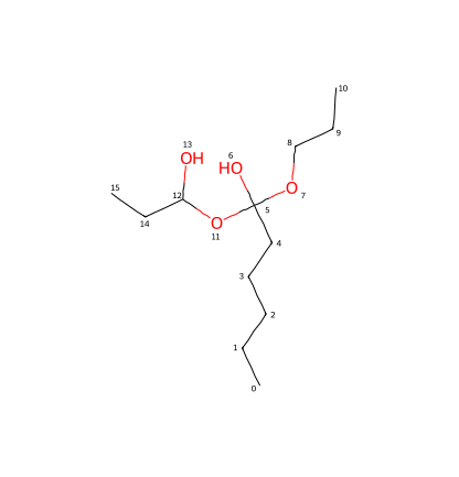 CCCCCC(O)(OCCC)OC(O)CC